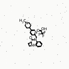 CN1CCC(c2ccc(CN(C(=O)[C@H]3CCN3)c3ccccc3)nc2)CC1.O=C(O)C(F)(F)F